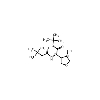 CC(C)(C)CC(=O)N[C@@H](C(=O)OC(C)(C)C)C1COC[C@@H]1O